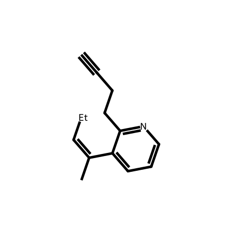 C#CCCc1ncccc1/C(C)=C\CC